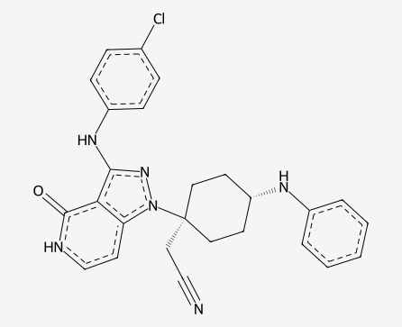 N#CC[C@]1(n2nc(Nc3ccc(Cl)cc3)c3c(=O)[nH]ccc32)CC[C@H](Nc2ccccc2)CC1